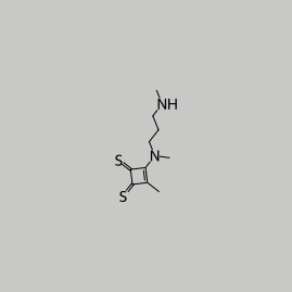 CNCCCN(C)c1c(C)c(=S)c1=S